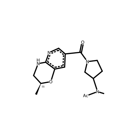 CC(=O)N(C)C1CCN(C(=O)c2cnc3c(c2)O[C@@H](C)CN3)C1